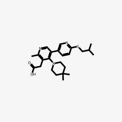 Cc1ncc(-c2ccc(SCC(C)C)nc2)c(N2CCC(C)(C)CC2)c1CC(=O)O